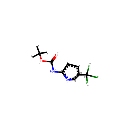 CC(C)(C)OC(=O)Nc1ccc(C(F)(F)F)cn1